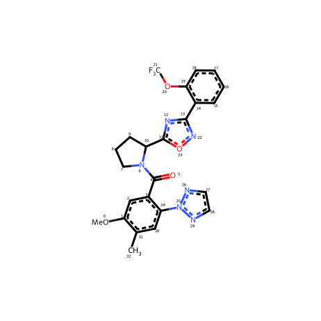 COc1cc(C(=O)N2CCCC2c2nc(-c3ccccc3OC(F)(F)F)no2)c(-n2nccn2)cc1C